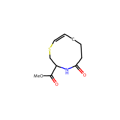 COC(=O)C1CS/C=C\CCCC(=O)N1